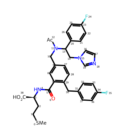 CSCC[C@H](NC(=O)c1cc(CN(C(C)=O)C(Cn2ccnc2)c2ccc(F)cc2)ccc1Cc1ccc(F)cc1)C(=O)O